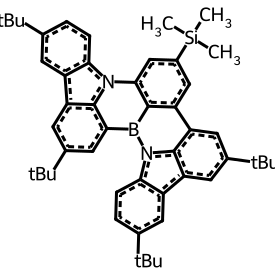 CC(C)(C)c1ccc2c(c1)c1cc(C(C)(C)C)cc3c1n2B1c2c-3cc([Si](C)(C)C)cc2-n2c3ccc(C(C)(C)C)cc3c3cc(C(C)(C)C)cc1c32